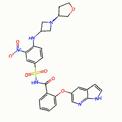 O=C(NS(=O)(=O)c1ccc(NC2CN([C@H]3CCOC3)C2)c([N+](=O)[O-])c1)c1ccccc1Oc1cnc2[nH]ccc2c1